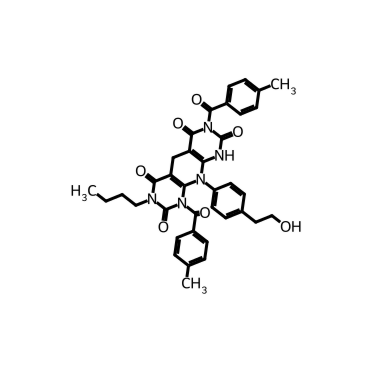 CCCCn1c(=O)c2c(n(C(=O)c3ccc(C)cc3)c1=O)N(c1ccc(CCO)cc1)c1[nH]c(=O)n(C(=O)c3ccc(C)cc3)c(=O)c1C2